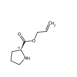 C=CCOC(=O)[C@@H]1CCCN1